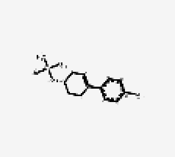 CC(C)(C)[Si](C)(C)O[C@@H]1CC=C(c2ccc(N)cc2)CC1